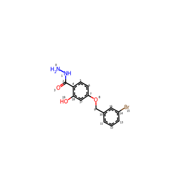 NNC(=O)c1ccc(OCc2cccc(Br)c2)cc1O